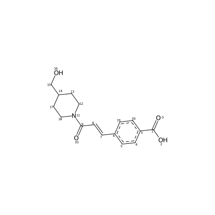 O=C(O)c1ccc(C=CC(=O)N2CCC(CO)CC2)cc1